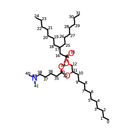 CCCCCCCCCCCC(COC(=O)CC(CCCCCCC)CCCCCCC)OC(=O)CCCCN(C)C